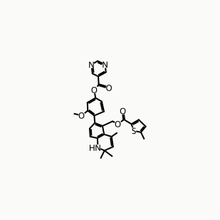 COc1cc(OC(=O)c2cncnc2)ccc1-c1ccc2c(c1COC(=O)c1ccc(C)s1)C(C)=CC(C)(C)N2